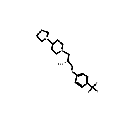 O[C@@H](COc1ccc(C(F)(F)F)cc1)CN1CCC(N2CCCC2)CC1